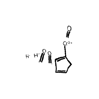 [C]=O.[C]=O.[C]=O.[Cr+2][C]1=CC=CC1.[H-].[H-]